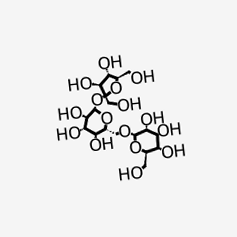 OC[C@H]1O[C@@H](OC[C@H]2O[C@@H](O[C@@]3(CO)O[C@H](CO)[C@@H](O)[C@@H]3O)[C@H](O)[C@@H](O)[C@@H]2O)[C@H](O)[C@@H](O)[C@H]1O